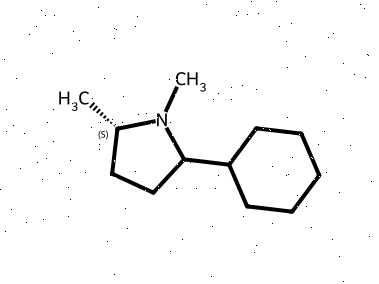 C[C@H]1CCC(C2CCCCC2)N1C